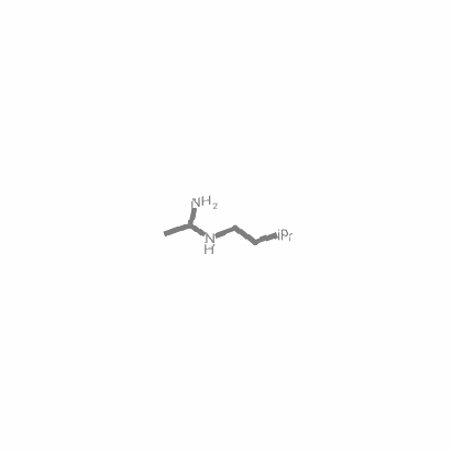 CC(C)CCNC(C)N